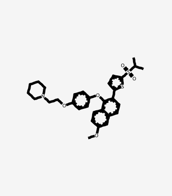 COc1ccc2c(Oc3ccc(OCCN4CCCCC4)cc3)c(-c3ccc(S(=O)(=O)C(C)C)s3)ccc2c1